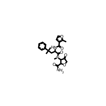 Cc1occc1C(=O)NC(CC(C)(C)c1ccccc1)C(=O)N(C)C1C(=O)COC1C(N)=O